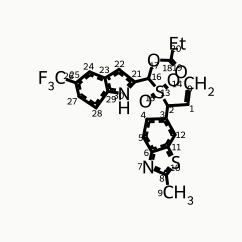 C=CC(c1ccc2nc(C)sc2c1)S(=O)(=O)C(OC(=O)CC)c1cc2cc(C(F)(F)F)ccc2[nH]1